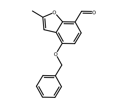 Cc1cc2c(OCc3ccccc3)ccc(C=O)c2o1